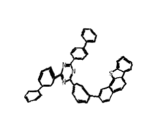 c1ccc(-c2ccc(-c3nc(-c4cccc(-c5ccccc5)c4)nc(-c4cccc(-c5ccc6ccc7c8ccccc8sc7c6c5)c4)n3)cc2)cc1